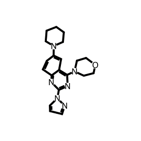 c1cnn(-c2nc(N3CCOCC3)c3cc(N4CCCCC4)ccc3n2)c1